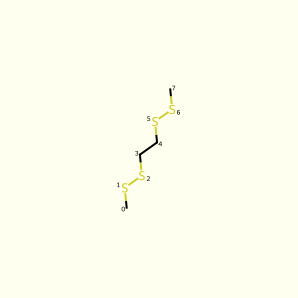 CSSCCSSC